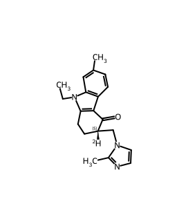 [2H][C@@]1(Cn2ccnc2C)CCc2c(c3ccc(C)cc3n2CC)C1=O